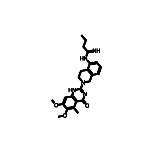 CCCC(=N)Nc1cccc2c1CCN(c1nc(=O)c3c(C)c(OC)c(OC)cc3[nH]1)C2